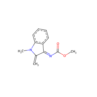 C=C1/C(=N/C(=O)OC)c2ccccc2N1C